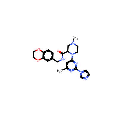 Cc1cc(N2CCN(C)CC2C(=O)NCc2ccc3c(c2)OCCO3)nc(-n2ccnc2)n1